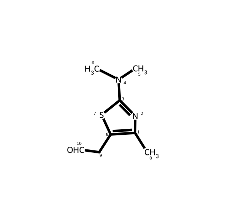 Cc1nc(N(C)C)sc1CC=O